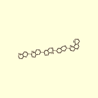 c1cnc2ccc(-c3ccc4cc(-c5ccc6nc(-c7ccc8cc(-c9ccc%10ccc%11cccnc%11c%10n9)ccc8c7)ccc6c5)ccc4n3)cc2c1